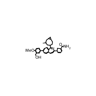 COc1ccc(C2=CC=C3C(=C=C2)C=C=C(C2C=CC=C(C(N)=O)C2)N=C3C2CCC3CC3C[C@H](C)C2)cc1CO